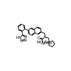 CCCCCC(=O)N(Cc1ccc2cc(-c3ccccc3-c3nnn[nH]3)ccc2c1)CC1(C(=O)O)CCCC1